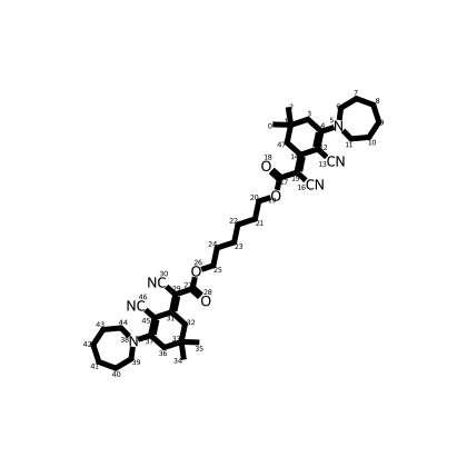 CC1(C)CC(N2CCCCCC2)=C(C#N)/C(=C(\C#N)C(=O)OCCCCCCOC(=O)/C(C#N)=C2\CC(C)(C)CC(N3CCCCCC3)=C2C#N)C1